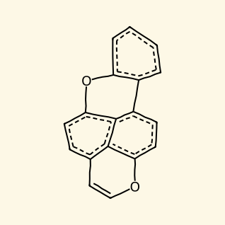 C1=Cc2ccc3c4c(ccc(c24)O1)-c1ccccc1O3